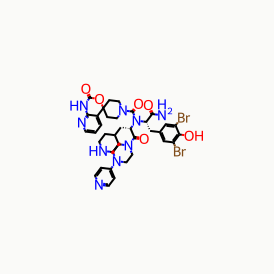 NC(=O)[C@H](Cc1cc(Br)c(O)c(Br)c1)N(C(=O)N1CCC2(CC1)OC(=O)Nc1ncccc12)[C@@H](CC1CCNCC1)C(=O)N1CCN(c2ccncc2)CC1